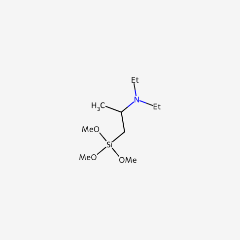 CCN(CC)C(C)C[Si](OC)(OC)OC